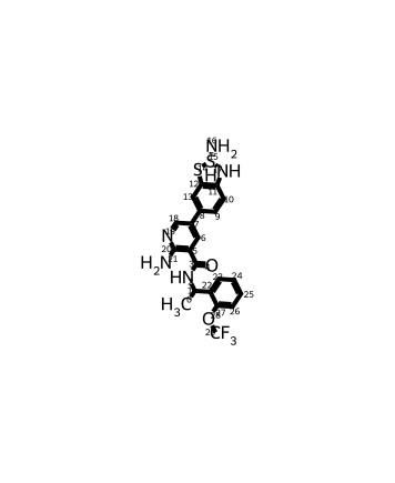 CC(NC(=O)c1cc(-c2ccc3c(c2)S[SH](N)N3)cnc1N)c1ccccc1OC(F)(F)F